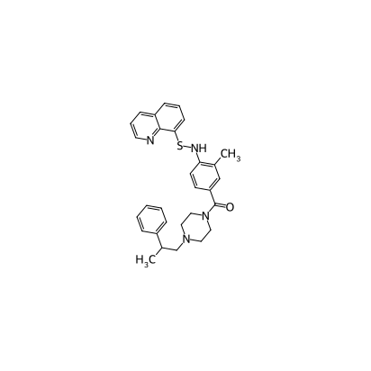 Cc1cc(C(=O)N2CCN(CC(C)c3ccccc3)CC2)ccc1NSc1cccc2cccnc12